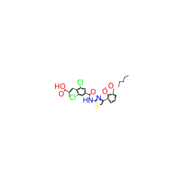 CCCCC[C@@H](OC)c1cccc(-c2csc(NC(=O)c3cc(Cl)c(/C=C(\C)C(=O)O)c(Cl)c3)n2)c1OC